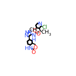 C[C@@H](OC(=O)Nc1c(-c2ccc3c(c2)COC(=O)N3)nnn1C)c1cccnc1Cl